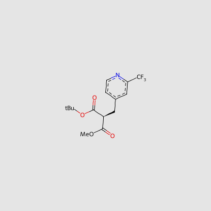 COC(=O)[C@H](Cc1ccnc(C(F)(F)F)c1)C(=O)OC(C)(C)C